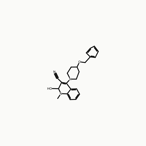 CN1c2ccccc2C(N2CCC(OCc3ccccc3)CC2)=C(C#N)C1O